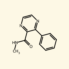 CNC(=O)c1nccnc1-c1ccccc1